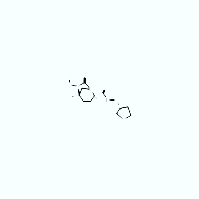 CCCCON1C(=O)N2C[C@@H]1CC[C@H]2C(=O)NO[C@H]1CCNC1